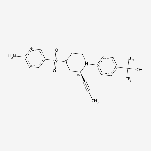 CC#C[C@H]1CN(S(=O)(=O)c2cnc(N)nc2)CCN1c1ccc(C(O)(C(F)(F)F)C(F)(F)F)cc1